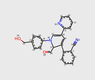 N#Cc1ccccc1C1=CC(c2ccccn2)=CN(c2ccc(CO)cc2)C1C=O